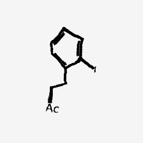 CC(=O)CCc1ccccc1I